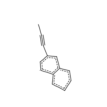 CC#Cc1c[c]c2ccccc2c1